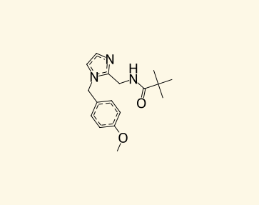 COc1ccc(Cn2ccnc2CNC(=O)C(C)(C)C)cc1